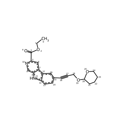 CCOC(=O)c1cc2c(cn1)[nH]c1ccc(C#CCOC3CCCCO3)cc12